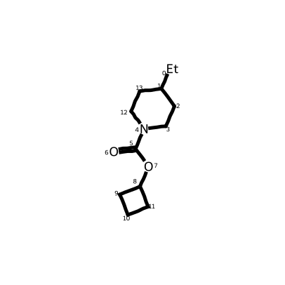 CCC1CCN(C(=O)OC2CCC2)CC1